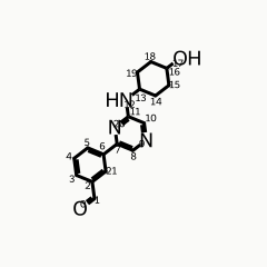 O=Cc1cccc(-c2cncc(NC3CCC(O)CC3)n2)c1